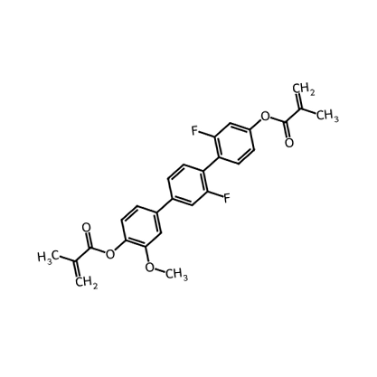 C=C(C)C(=O)Oc1ccc(-c2ccc(-c3ccc(OC(=O)C(=C)C)c(OC)c3)cc2F)c(F)c1